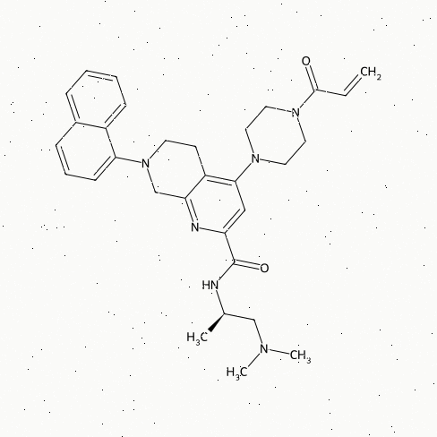 C=CC(=O)N1CCN(c2cc(C(=O)N[C@H](C)CN(C)C)nc3c2CCN(c2cccc4ccccc24)C3)CC1